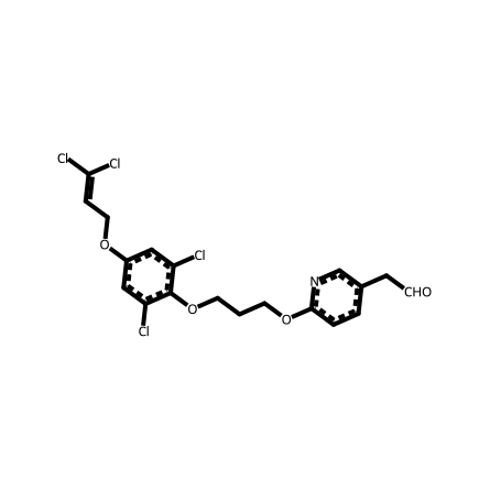 O=CCc1ccc(OCCCOc2c(Cl)cc(OCC=C(Cl)Cl)cc2Cl)nc1